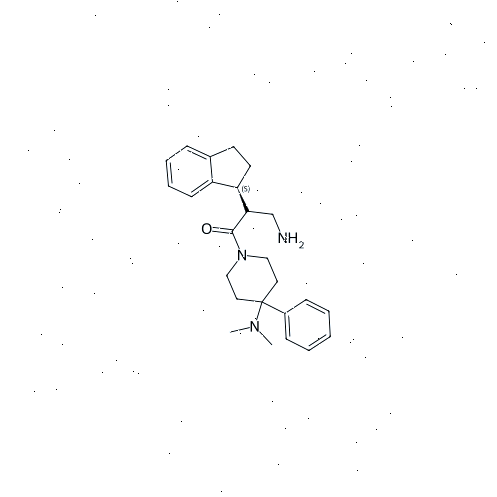 CN(C)C1(c2ccccc2)CCN(C(=O)C(CN)[C@@H]2CCc3ccccc32)CC1